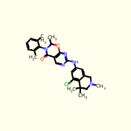 Cc1cccc(C)c1N1C(=O)c2cnc(Nc3cc(Cl)c4c(c3)CN(C)CC4(C)C)nc2OC1C